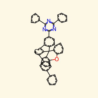 c1ccc(-c2ccc(-c3cccc4c3C3(c5ccccc5Oc5ccccc53)c3ccc(-c5nc(-c6ccccc6)nc(-c6ccccc6)n5)cc3-4)cc2)cc1